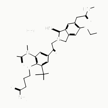 Br.CCOc1cc2c(cc1CC(=O)NC)C(=N)N(CC(=O)c1cc(N(C)C(C)=O)c(OCCCC(N)=O)c(C(C)(C)C)c1)C2